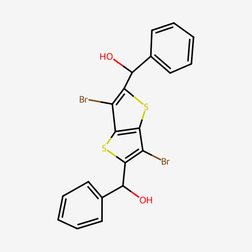 OC(c1ccccc1)c1sc2c(Br)c(C(O)c3ccccc3)sc2c1Br